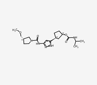 COC[C@H]1CCN(C(=O)Nc2cc([C@H]3CC[C@@H](OC(=O)NC(C)C)C3)[nH]n2)C1